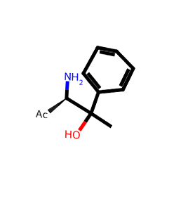 CC(=O)[C@@H](N)C(C)(O)c1ccccc1